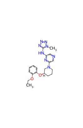 CCOc1ccccc1O[C@@H]1CCCN(c2cncc(Nc3nnnn3C)n2)C1